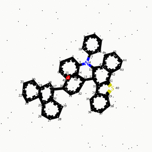 c1ccc(N(c2ccccc2)c2c(-c3ccc(-c4cc5ccccc5c5ccccc45)cc3)c3c4ccccc4sc3c3ccccc23)cc1